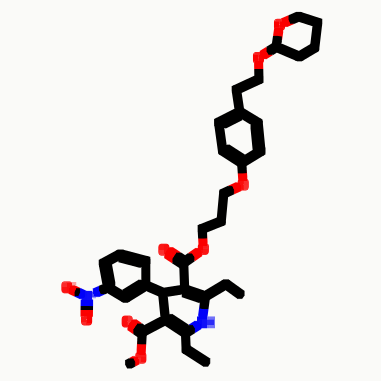 CCC1=C(C(=O)OC)C(c2cccc([N+](=O)[O-])c2)C(C(=O)OCCCOc2ccc(CCOC3CCCCO3)cc2)=C(CC)N1